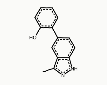 Cc1n[nH]c2ccc(-c3ccccc3O)cc12